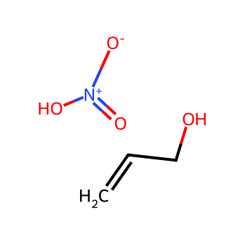 C=CCO.O=[N+]([O-])O